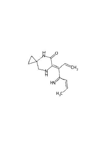 C=C/C(C(=N)/C=C\C)=C1/NCC2(CC2)NC1=O